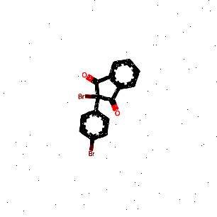 O=C1c2ccccc2C(=O)C1(Br)c1ccc(Br)cc1